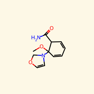 COC1(N2C=COC2)C=CC=CC1C(N)=O